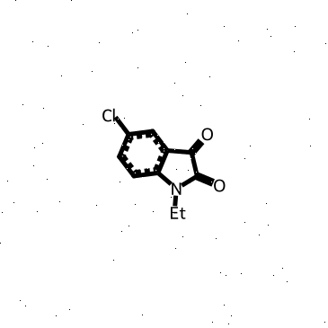 CCN1C(=O)C(=O)c2cc(Cl)ccc21